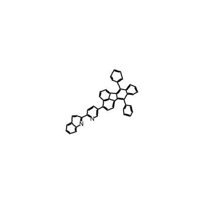 c1ccc(-c2c3c(c(-c4ccccc4)c4ccccc24)-c2ccc(-c4ccc(-c5ccc6ccccc6n5)nc4)c4cccc-3c24)cc1